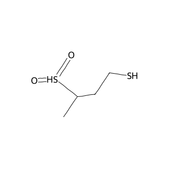 CC(CCS)[SH](=O)=O